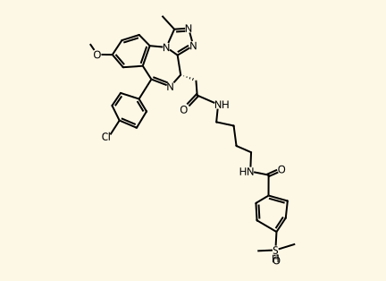 COc1ccc2c(c1)C(c1ccc(Cl)cc1)=N[C@@H](CC(=O)NCCCCNC(=O)c1ccc([SH](C)(C)=O)cc1)c1nnc(C)n1-2